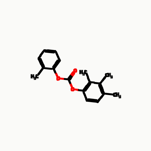 Cc1ccccc1OC(=O)Oc1ccc(C)c(C)c1C